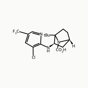 CC(C)(C)C12CC[C@H](C[C@H]1Nc1ncc(C(F)(F)F)cc1Cl)N2C(=O)O